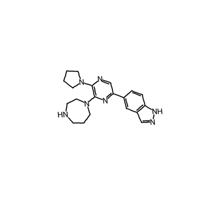 c1cc2[nH]ncc2cc1-c1cnc(N2CCCC2)c(N2CCCNCC2)n1